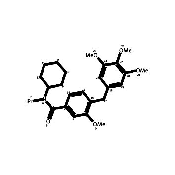 COc1cc(C(=O)N(C(C)C)C2CCCCC2)ccc1Cc1cc(OC)c(OC)c(OC)c1